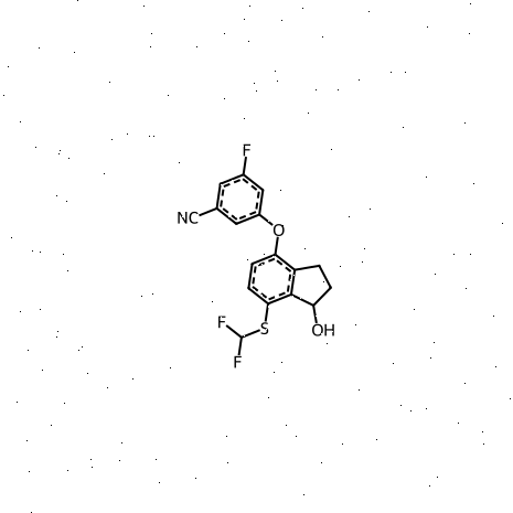 N#Cc1cc(F)cc(Oc2ccc(SC(F)F)c3c2CCC3O)c1